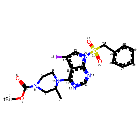 CC1CN(C(=O)OC(C)(C)C)CCN1c1ncnc2c1c(I)cn2S(=O)(=O)Cc1ccccc1